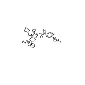 COc1ccc(NC(=O)CN2C[C@]3(CC[C@@](c4ccccc4)(N(C)C)CC3)N(CC3CCC3)C2=O)cn1